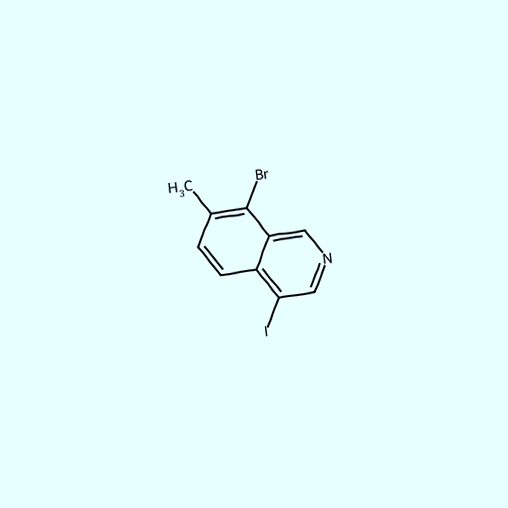 Cc1ccc2c(I)cncc2c1Br